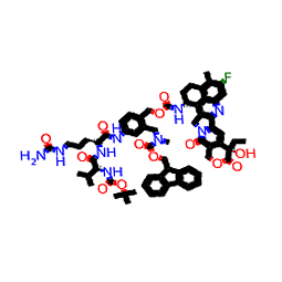 CC[C@@]1(O)C(=O)OCc2c1cc1n(c2=O)Cc2c-1nc1cc(F)c(C)c3c1c2[C@@H](NC(=O)OCc1ccc(NC(=O)[C@H](CCCNC(N)=O)NC(=O)[C@@H](NC(=O)OC(C)(C)C)C(C)C)cc1CN(C)C(=O)OCC1c2ccccc2-c2ccccc21)CC3